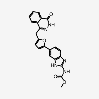 COC(=O)Nc1nc2ccc(-c3ccc(Cc4n[nH]c(=O)c5ccccc45)o3)cc2[nH]1